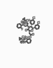 CC1(S(=O)(=O)Nc2ccccc2F)CC1.CCC(CN(c1ccccc1F)S(=O)(=O)C1(C)CC1)N1C(=O)[C@H](CC(=O)O)O[C@H](c2cccc(Cl)c2)[C@H]1c1ccc(Cl)cc1